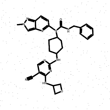 Cn1cc2nc(N(C(=O)NCc3ccccc3)C3CCC(Nc4ncc(C#N)c(NC5COC5)n4)CC3)ccc2n1